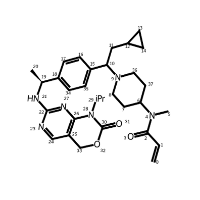 C=CC(=O)N(C)C1CCN(C(CC2CC2)c2ccc([C@H](C)Nc3ncc4c(n3)N(C(C)C)C(=O)OC4)cc2)CC1